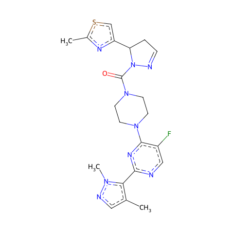 Cc1nc(C2CC=NN2C(=O)N2CCN(c3nc(-c4c(C)cnn4C)ncc3F)CC2)cs1